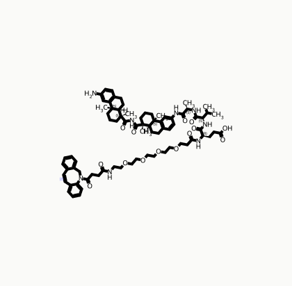 CC(C)[C@H](NC(=O)[C@@H](CCC(=O)O)NC(=O)CCOCCOCCOCCOCCNC(=O)CCC(=O)N1Cc2ccccc2/C=C\c2ccccc21)C(=O)N[C@@H](C)C(=O)Nc1ccc2c(c1)[C@@]1(C)CCC[C@](C)(C(=O)NC(=O)[C@@]3(C)CCC[C@]4(C)c5cc(N)ccc5CC[C@@H]34)[C@@H]1CC2